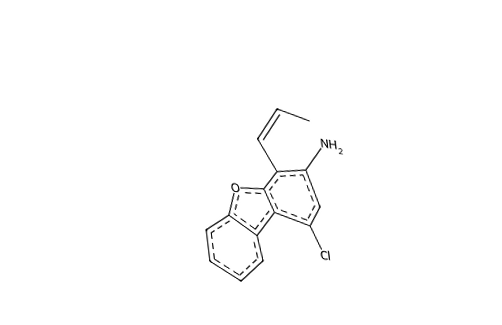 C/C=C\c1c(N)cc(Cl)c2c1oc1ccccc12